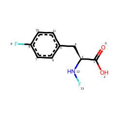 O=C(O)[C@H](Cc1ccc(F)cc1)NF